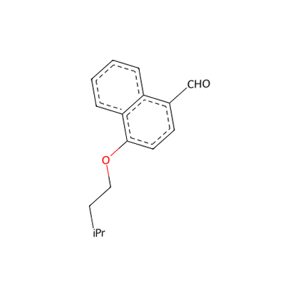 CC(C)CCOc1ccc(C=O)c2ccccc12